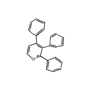 c1ccc(-c2cc[o+]c(-c3ccccc3)c2-c2ccccc2)cc1